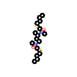 c1ccc2c(c1)Oc1cc3c(cc1N2c1cc2c4cccc(N5c6ccccc6Oc6cc7c(cc65)sc5ccc6c8ccc9ccccc9c8ccc6c57)c4ccc2c2ccccc12)sc1ccc2c4ccc5ccccc5c4ccc2c13